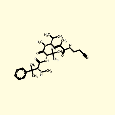 CN[C@H](C(=O)N[C@H](C(=O)N(C)[C@H](/C=C(\C)C(=O)NCCC#N)C(C)C)C(C)(C)C)C(C)(C)c1ccccc1